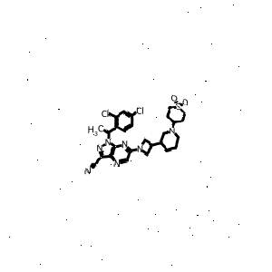 CC(c1ccc(Cl)cc1Cl)n1nc(C#N)c2ncc(N3CC(C4CCCN(C5CCS(=O)(=O)CC5)C4)C3)nc21